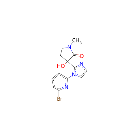 CN1CCC(O)(c2nccn2-c2cccc(Br)n2)C1=O